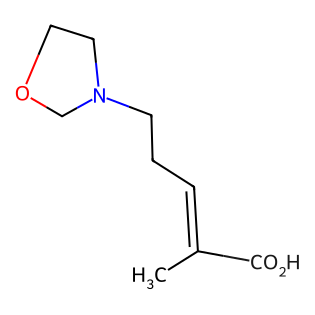 CC(=CCCN1CCOC1)C(=O)O